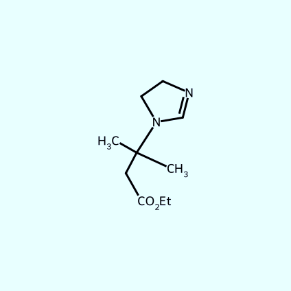 CCOC(=O)CC(C)(C)N1C=NCC1